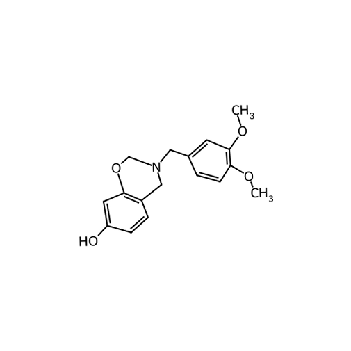 COc1ccc(CN2COc3cc(O)ccc3C2)cc1OC